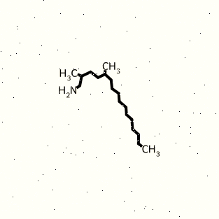 CCCCCCCCCCCC(C)CCC(C)CN